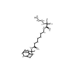 CC1(OC(=O)CCCCCCOC(=O)C(F)(F)SOOO)C2CC3CC(C2)CC1C3